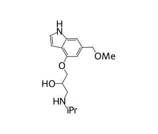 COCc1cc(OCC(O)CNC(C)C)c2cc[nH]c2c1